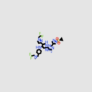 CN(CC(F)F)CC1CCC(NC2=CC(N)(c3ccnc(-c4cnn(S(=O)(=O)C5CC5)c4)n3)NC=C2c2ccn(CC(F)F)n2)CC1